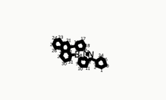 c1ccc(-c2nn3c4c(cccc24)B2c4c(cccc4-3)-c3cc4ccccc4c4cccc2c34)cc1